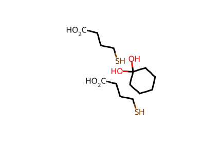 O=C(O)CCCS.O=C(O)CCCS.OC1(O)CCCCC1